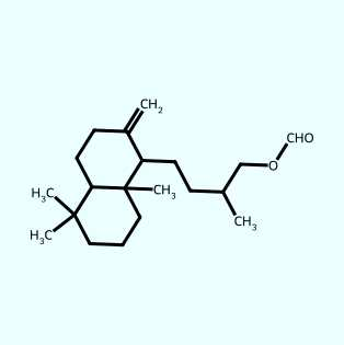 C=C1CCC2C(C)(C)CCCC2(C)C1CCC(C)COC=O